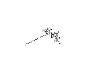 C#CC(CO)(OC)[C@H](Cn1cnc2c(NC(=O)CCCC)nc(F)nc21)OC(=O)CCCCCCCCCCCCCCC